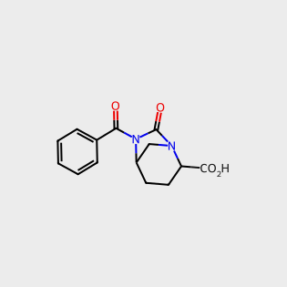 O=C(O)C1CCC2CN1C(=O)N2C(=O)c1ccccc1